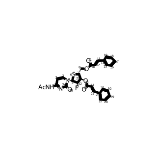 CC(=O)Nc1ccn([C@@H]2S[C@H](COC(=O)/C=C/c3ccccc3)[C@@H](OC(=O)/C=C/c3ccccc3)[C@@H]2F)c(=O)n1